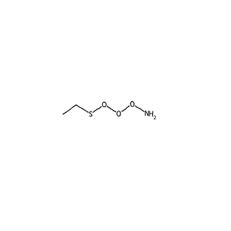 CCSOOON